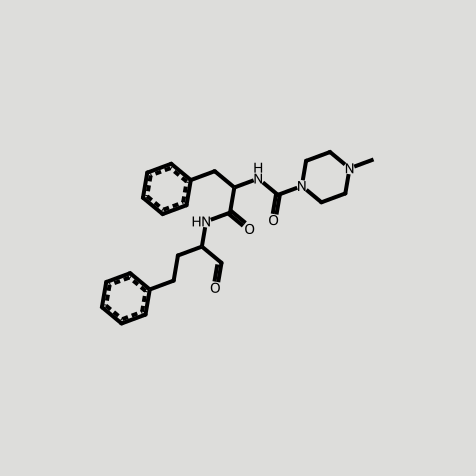 CN1CCN(C(=O)NC(Cc2ccccc2)C(=O)NC(C=O)CCc2ccccc2)CC1